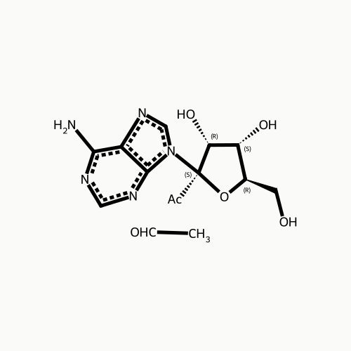 CC(=O)[C@@]1(n2cnc3c(N)ncnc32)O[C@H](CO)[C@@H](O)[C@H]1O.CC=O